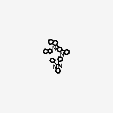 c1ccc(-c2nc3ccccc3nc2-c2ccc(-n3c4ccccc4c4cc5c6ccc7ccccc7c6n(-c6ccc7ccccc7c6)c5cc43)cc2)cc1